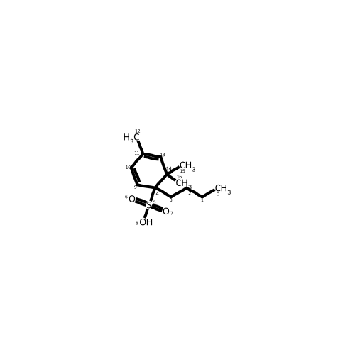 CCCCC1(S(=O)(=O)O)C=CC(C)=CC1(C)C